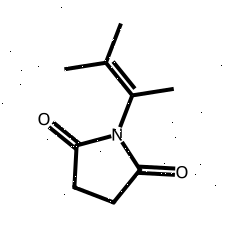 CC(C)=C(C)N1C(=O)CCC1=O